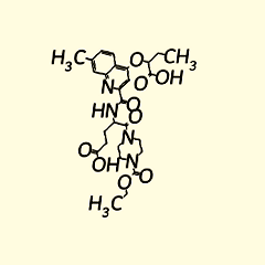 CCOC(=O)N1CCN(C(=O)C(CCC(=O)O)NC(=O)c2cc(OC(CC)C(=O)O)c3ccc(C)cc3n2)CC1